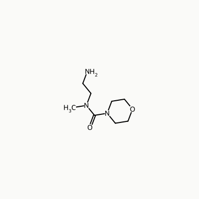 CN(CCN)C(=O)N1CCOCC1